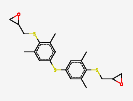 Cc1cc(Sc2cc(C)c(SCC3CO3)c(C)c2)cc(C)c1SCC1CO1